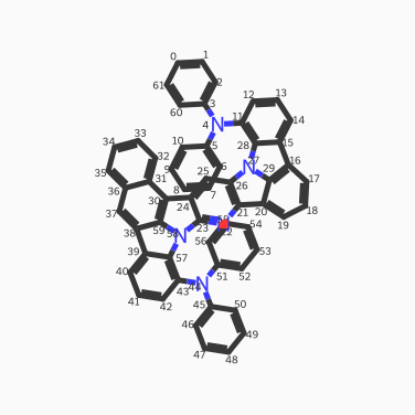 c1ccc(N(c2ccccc2)c2cccc3c4cccc5c6nc7c(cc6n(c23)c45)c2c3ccccc3cc3c4cccc(N(c5ccccc5)c5ccccc5)c4n7c32)cc1